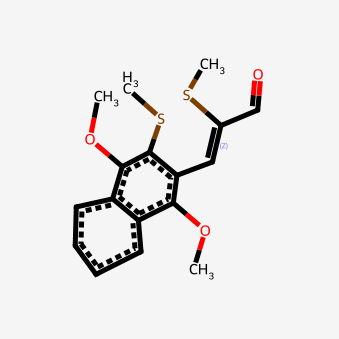 COc1c(/C=C(/C=O)SC)c(SC)c(OC)c2ccccc12